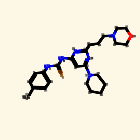 Cc1ccc(NC(=S)Nc2cc(N3CCCCC3)nc(CCCN3CCOCC3)n2)cc1